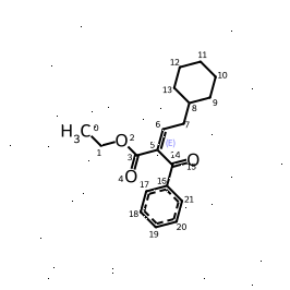 CCOC(=O)/C(=C/CC1CCCCC1)C(=O)c1ccccc1